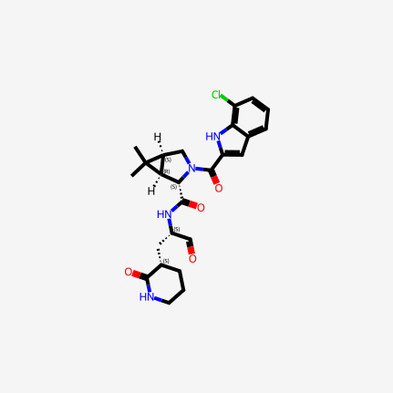 CC1(C)[C@@H]2[C@@H](C(=O)N[C@H](C=O)C[C@@H]3CCCNC3=O)N(C(=O)c3cc4cccc(Cl)c4[nH]3)C[C@@H]21